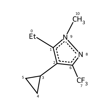 CCc1c(C2CC2)c(C(F)(F)F)nn1C